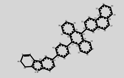 C1=Cc2c(sc3ccc(-c4ccc(-c5c6ccccc6c(-c6ccc7c(ccc8ccccc87)c6)c6ccccc56)cc4)cc23)CC1